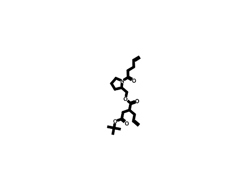 C=CCCC(=O)N1CCCC1COC(=O)C(CC=C)CC(=O)OC(C)(C)C